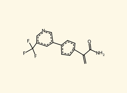 C=C(C(N)=O)c1ccc(-c2cncc(C(F)(F)F)c2)cc1